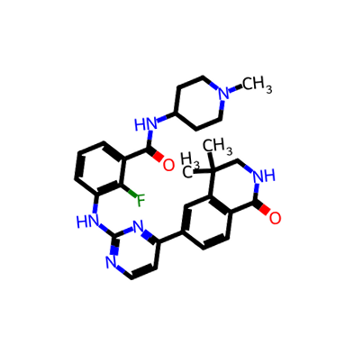 CN1CCC(NC(=O)c2cccc(Nc3nccc(-c4ccc5c(c4)C(C)(C)CNC5=O)n3)c2F)CC1